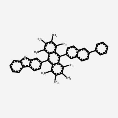 Bc1c(B)c(B)c2c(-c3ccc4c(c3)oc3ccccc34)c3c(B)c(B)c(B)c(B)c3c(-c3ccc4cc(-c5ccccc5)ccc4c3)c2c1B